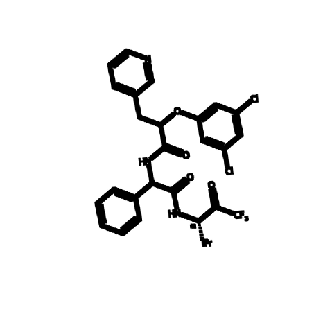 CC(C)[C@H](NC(=O)C(NC(=O)C(Cc1cccnc1)Oc1cc(Cl)cc(Cl)c1)c1ccccc1)C(=O)C(F)(F)F